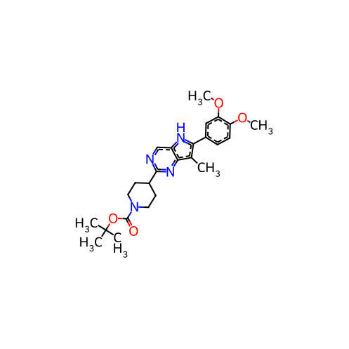 COc1ccc(-c2[nH]c3cnc(C4CCN(C(=O)OC(C)(C)C)CC4)nc3c2C)cc1OC